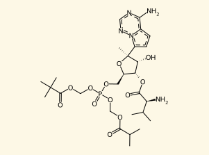 CC(C)C(=O)OCOP(=O)(OCOC(=O)C(C)(C)C)OC[C@H]1O[C@@](C)(c2ccc3c(N)ncnn23)[C@H](O)[C@@H]1OC(=O)[C@@H](N)C(C)C